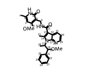 COc1cc(C)[nH]c(=O)c1CNC(=O)c1c(C)n(C(C)C(OC)c2ccccc2)c2ncccc12